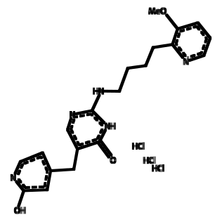 COc1cccnc1CCCCNc1ncc(Cc2ccnc(O)c2)c(=O)[nH]1.Cl.Cl.Cl